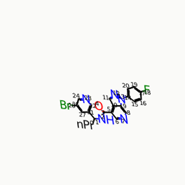 CCCC(NC(=O)c1cncc2c1cnn2-c1ccc(F)cc1)c1cncc(Br)c1